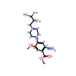 COC(=O)c1cc(OC)c(N2CCN(CC(F)C(F)F)CC2)cc1N